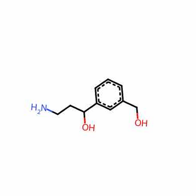 NCCC(O)c1cccc(CO)c1